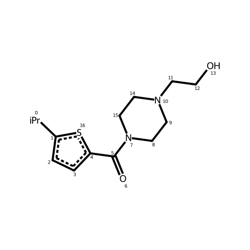 CC(C)c1ccc(C(=O)N2CCN(CCO)CC2)s1